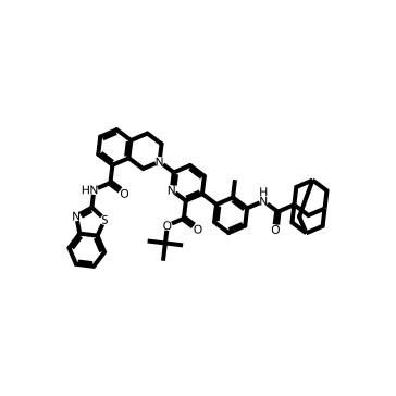 Cc1c(NC(=O)C23CC4CC(CC(C4)C2)C3)cccc1-c1ccc(N2CCc3cccc(C(=O)Nc4nc5ccccc5s4)c3C2)nc1C(=O)OC(C)(C)C